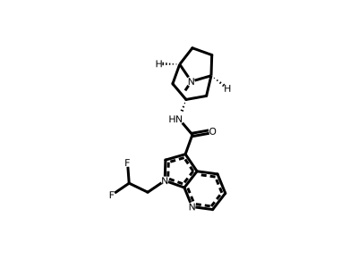 CN1[C@@H]2CC[C@H]1C[C@H](NC(=O)c1cn(CC(F)F)c3ncccc13)C2